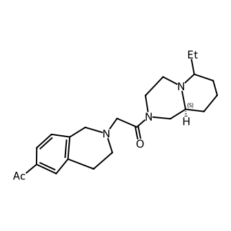 CCC1CCC[C@H]2CN(C(=O)CN3CCc4cc(C(C)=O)ccc4C3)CCN12